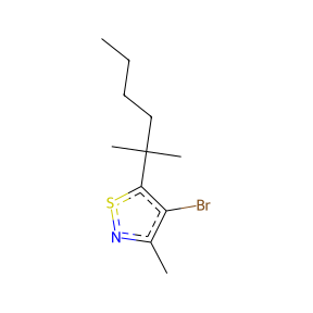 CCCCC(C)(C)c1snc(C)c1Br